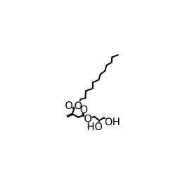 C=C(CC(=O)OCC(O)CO)C(=O)OCCCCCCCCCCCC